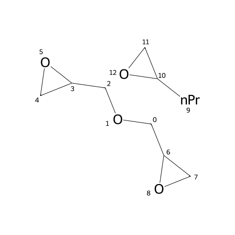 C(OCC1CO1)C1CO1.CCCC1CO1